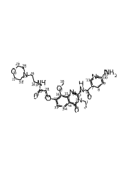 CCn1c(NC(=O)c2ccc(N)nc2)nc2c(OC)c(OCC(=O)NCCN3CCOCC3)ccc2c1=O